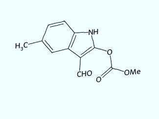 COC(=O)Oc1[nH]c2ccc(C)cc2c1C=O